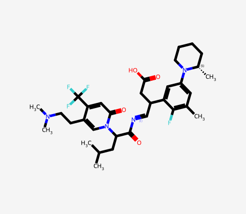 Cc1cc(N2CCCC[C@@H]2C)cc(C(/C=N/C(=O)C(CC(C)C)n2cc(CCN(C)C)c(C(F)(F)F)cc2=O)CC(=O)O)c1F